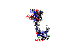 C#Cc1c(F)ccc2cc(O)cc(-c3ncc4c(N5CC6CCC(C5)N6)nc(OC5CCN(C6CN(C(=O)C[C@H](NC(=O)C7C[C@H](O)CN7C(=O)C(NC(=O)C7(F)CC7)C(C)(C)C)C7(C)C=CC(C8=C(C)N=CC8)=CC7)C6)CC5)nc4c3F)c12